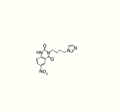 O=c1[nH]c2ccc([N+](=O)[O-])cc2c(=O)n1CCCCn1ccnc1